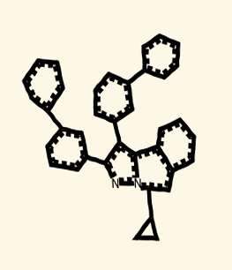 c1ccc(-c2cccc(-c3nn4c(C5CC5)cc5ccccc5c4c3-c3cccc(-c4ccccc4)c3)c2)cc1